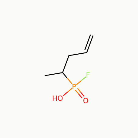 C=CCC(C)P(=O)(O)F